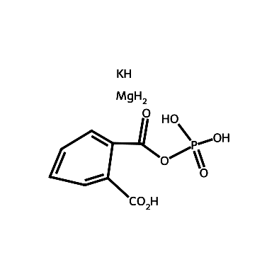 O=C(O)c1ccccc1C(=O)OP(=O)(O)O.[KH].[MgH2]